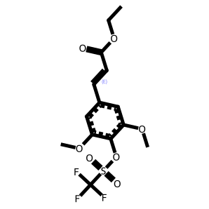 CCOC(=O)/C=C/c1cc(OC)c(OS(=O)(=O)C(F)(F)F)c(OC)c1